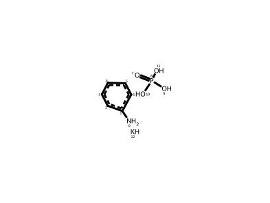 Nc1ccccc1.O=P(O)(O)O.[KH]